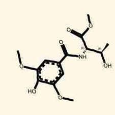 COC(=O)[C@@H](NC(=O)c1cc(OC)c(O)c(OC)c1)[C@@H](C)O